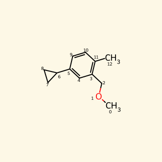 COCc1cc(C2CC2)ccc1C